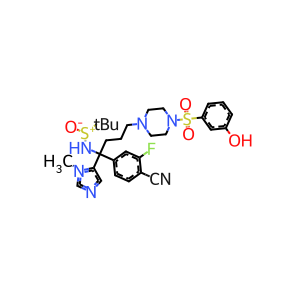 Cn1cncc1C(CCCN1CCN(S(=O)(=O)c2cccc(O)c2)CC1)(N[S+]([O-])C(C)(C)C)c1ccc(C#N)c(F)c1